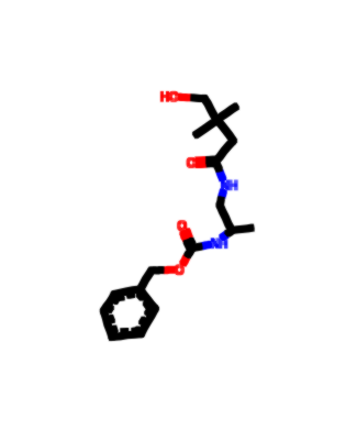 CC(CNC(=O)CC(C)(C)CO)NC(=O)OCc1ccccc1